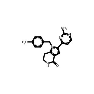 Nc1nccc(-c2cc3c(n2Cc2ccc(C(F)(F)F)cc2)CCNC3=O)n1